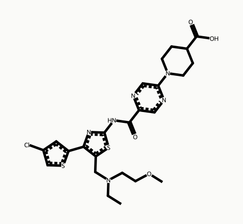 CCN(CCOC)Cc1sc(NC(=O)c2cnc(N3CCC(C(=O)O)CC3)cn2)nc1-c1cc(Cl)cs1